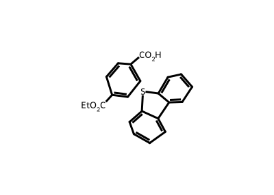 CCOC(=O)c1ccc(C(=O)O)cc1.c1ccc2c(c1)sc1ccccc12